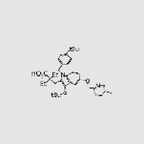 CCC(CC)(Cc1c(SC(C)(C)C)c2cc(OCc3ccc(C)cn3)ccc2n1Cc1ccc(C(C)(C)C)cc1)C(=O)O